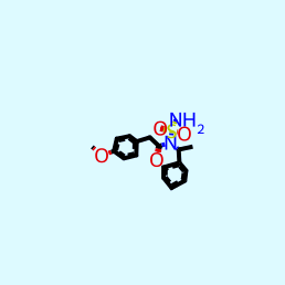 COc1ccc(CC(=O)N(C(C)c2ccccc2)S(N)(=O)=O)cc1